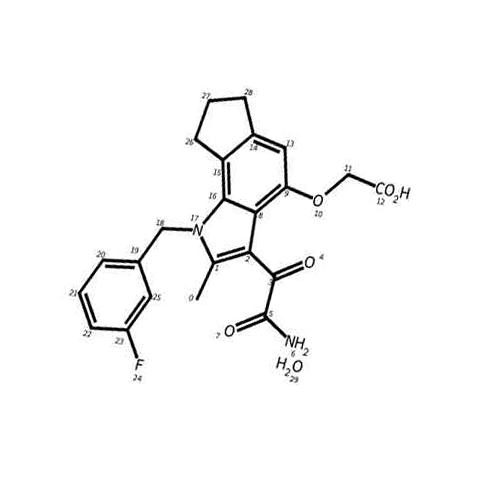 Cc1c(C(=O)C(N)=O)c2c(OCC(=O)O)cc3c(c2n1Cc1cccc(F)c1)CCC3.O